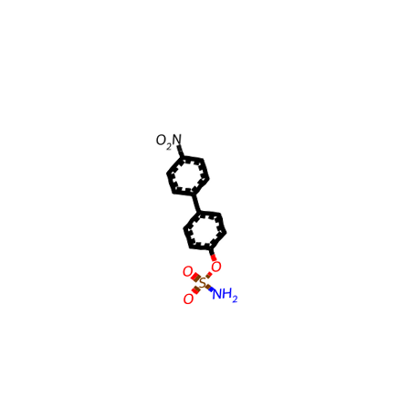 NS(=O)(=O)Oc1ccc(-c2ccc([N+](=O)[O-])cc2)cc1